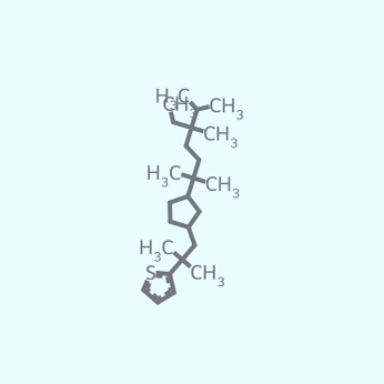 CCC(C)(CCC(C)(C)C1CCC(CC(C)(C)c2cccs2)C1)C(C)C